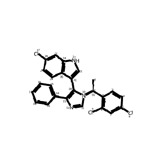 C[C@@H](c1ccc(Cl)cc1Cl)n1cnc(-c2ccccc2)c1-c1c[nH]c2cc(Cl)ccc12